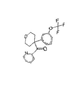 O=C(c1ccccn1)C1(c2cccc(OC(F)(F)F)c2)CCOCC1